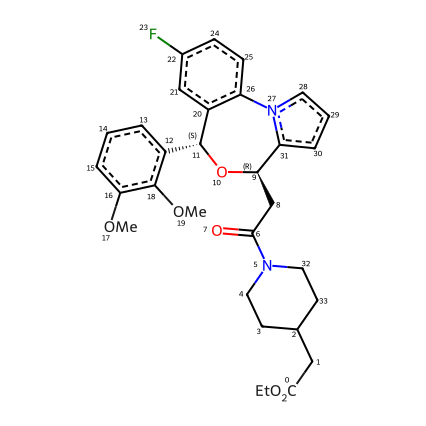 CCOC(=O)CC1CCN(C(=O)C[C@H]2O[C@H](c3cccc(OC)c3OC)c3cc(F)ccc3-n3cccc32)CC1